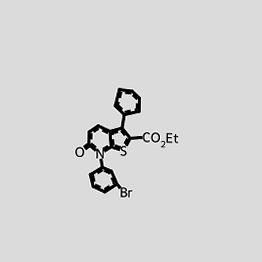 CCOC(=O)c1sc2c(ccc(=O)n2-c2cccc(Br)c2)c1-c1ccccc1